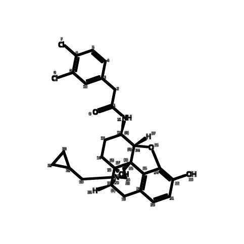 O=C(Cc1ccc(Cl)c(Cl)c1)N[C@@H]1CC[C@@]2(O)[C@H]3Cc4ccc(O)c5c4[C@@]2(CCN3CC2CC2)[C@H]1O5